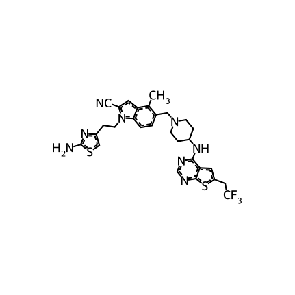 Cc1c(CN2CCC(Nc3ncnc4sc(CC(F)(F)F)cc34)CC2)ccc2c1cc(C#N)n2CCc1csc(N)n1